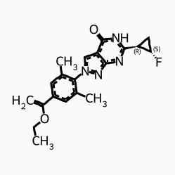 C=C(OCC)c1cc(C)c(-n2cc3c(=O)[nH]c([C@H]4C[C@@H]4F)nc3n2)c(C)c1